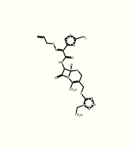 C=CCON=C(C(=O)NC1C(=O)N2C(C(=O)O)=C(CSc3nnnn3CC(=O)O)CS[C@@H]12)c1csc(N)n1